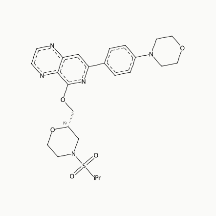 CC(C)S(=O)(=O)N1CCO[C@H](COc2nc(-c3ccc(N4CCOCC4)cc3)cc3nccnc23)C1